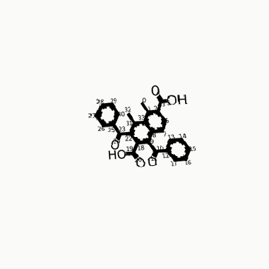 Cc1c(C(=O)O)ccc2c(C(=O)c3ccccc3)c(C(=O)O)c(C(=O)c3ccccc3)c(C)c12